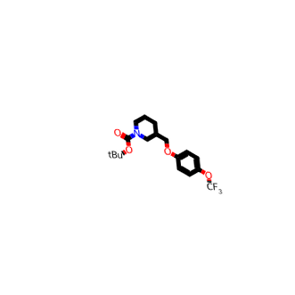 CC(C)(C)OC(=O)N1CCCC(COc2ccc(OC(F)(F)F)cc2)C1